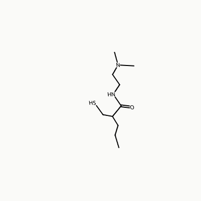 CCCC(CS)C(=O)NCCN(C)C